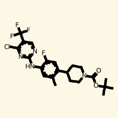 Cc1cc(Nc2ncc(C(F)(F)F)c(Cl)n2)c(F)cc1C1CCN(C(=O)OC(C)(C)C)CC1